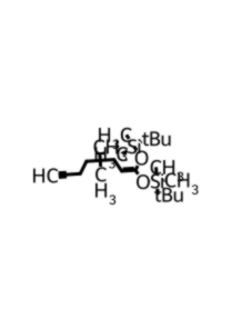 C#CCCC(C)(C)CC=C(O[Si](C)(C)C(C)(C)C)O[Si](C)(C)C(C)(C)C